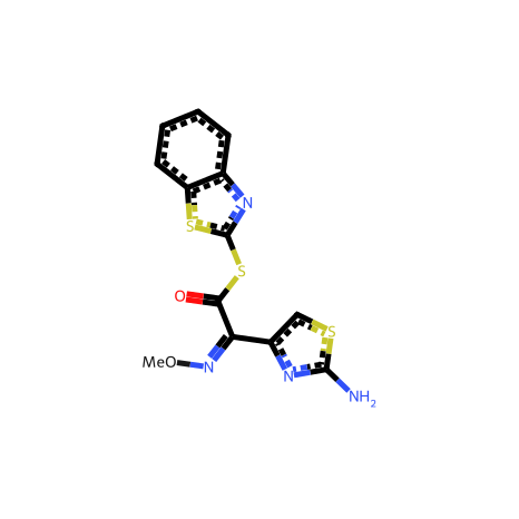 CO/N=C(\C(=O)Sc1nc2ccccc2s1)c1csc(N)n1